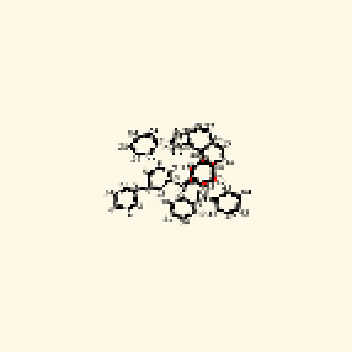 c1ccc(-c2cccc(N(c3ccc4ccc5ccc6nc(-c7ccccc7)oc6c5c4c3)c3ccccc3N(c3ccccc3)c3ccccc3)c2)cc1